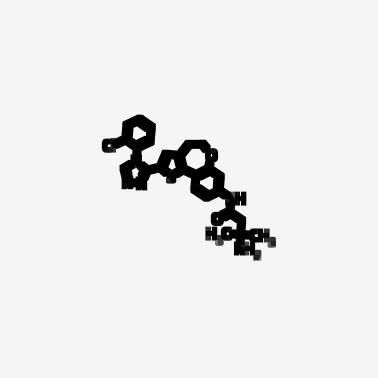 CC(C)(N)CC(=O)Nc1ccc2c(c1)OCCc1cc(-c3nncn3-c3ccccc3Cl)sc1-2